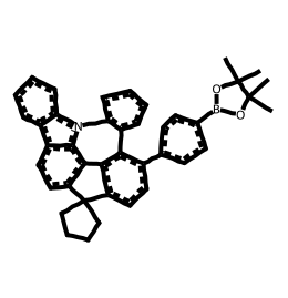 CC1(C)OB(c2ccc(-c3ccc4c5c3-c3ccccc3-n3c6ccccc6c6ccc(c-5c63)C43CCCC3)cc2)OC1(C)C